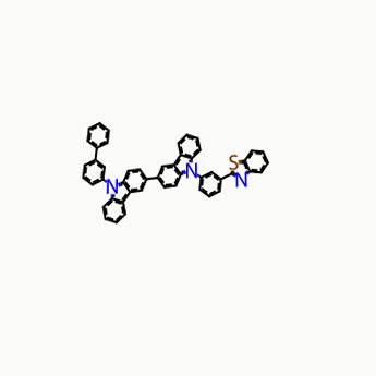 c1ccc(-c2cccc(-n3c4ccccc4c4cc(-c5ccc6c(c5)c5ccccc5n6-c5cccc(-c6nc7ccccc7s6)c5)ccc43)c2)cc1